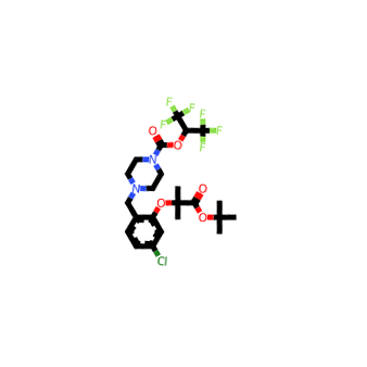 CC(C)(C)OC(=O)C(C)(C)Oc1cc(Cl)ccc1CN1CCN(C(=O)OC(C(F)(F)F)C(F)(F)F)CC1